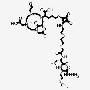 CSCC[C@H](NC(=O)[C@H](CS)NC(=O)COCCOCCNc1c(NCCCC(C(=O)O)N2CCN(CC=O)CCN(CC(=O)O)CCN3CC(=O)OC(C2)C3C)c(=O)c1=O)C(=O)NN